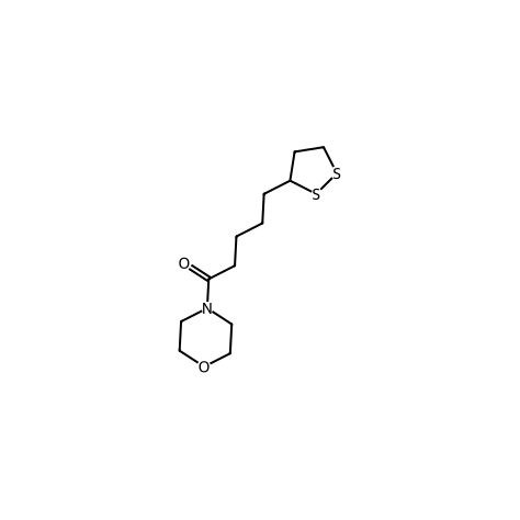 O=C(CCCCC1CCSS1)N1CCOCC1